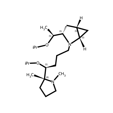 CC(C)O[C@@H](C)[C@@H]1C[C@@H]2C[C@@H]2N1CCC[C@H](OC(C)C)[C@@]1(C)CCCN1C